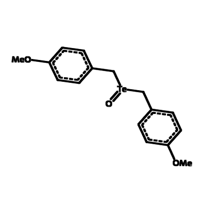 COc1ccc(C[Te](=O)Cc2ccc(OC)cc2)cc1